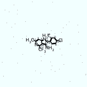 Cc1cc2nn(-c3ccc(Cl)cc3C)c(N)c2c(C(F)(F)F)n1